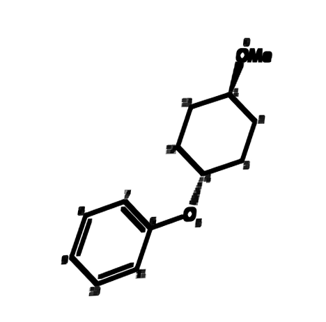 CO[C@H]1CC[C@H](Oc2ccccc2)CC1